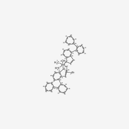 CC(C)C[CH]=[Hf]([CH3])([CH3])([CH3])([CH]1C=Cc2c(-c3ccccc3-c3ccccc3)cccc21)[CH]1C=Cc2c(-c3ccccc3-c3ccccc3)cccc21